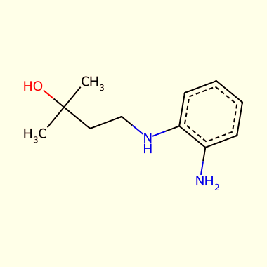 CC(C)(O)CCNc1ccccc1N